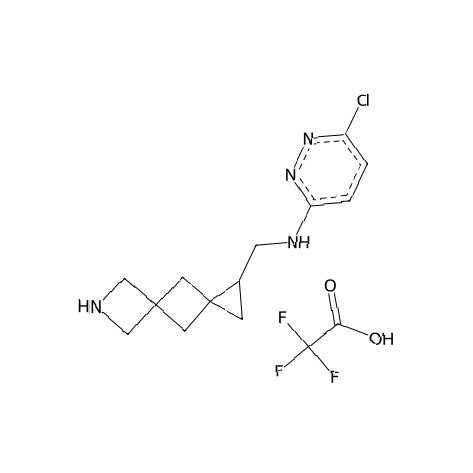 Clc1ccc(NCC2CC23CC2(CNC2)C3)nn1.O=C(O)C(F)(F)F